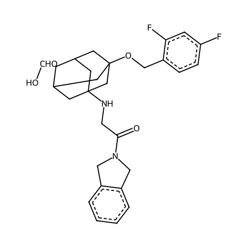 O=C(CNC12CC3CC(C1)CC(OCc1ccc(F)cc1F)(C3)C2)N1Cc2ccccc2C1.O=CO